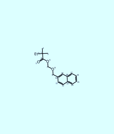 CCC(C)(C)C(=O)OCOCc1ccc2ccccc2c1